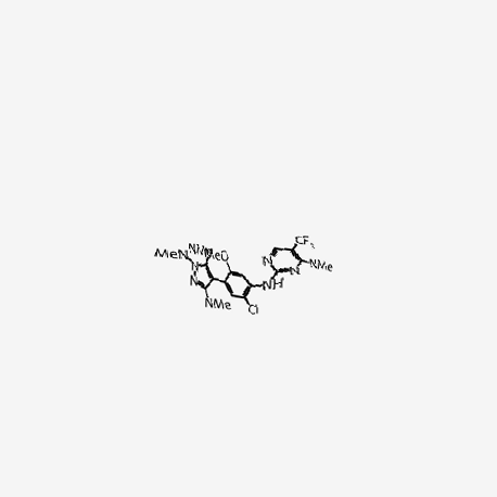 CNc1nc(Nc2cc(OC)c(-c3c(NC)nn(NC)c3NC)cc2Cl)ncc1C(F)(F)F